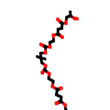 CC(O)COC(=O)CCC(=O)OCCOC(=O)OCC(C)(C)COC(=O)OCCOC(=O)CCC(=O)OCC(C)O